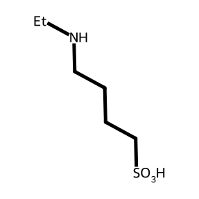 CCNCCCCS(=O)(=O)O